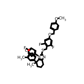 COc1ccc(COc2cc(F)c(CSc3nc4c(n3-c3ccc(F)cc3)C(C)(c3ccc(Cl)c(C)c3)CCC4)c(F)c2)cc1